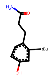 CC(C)(C)c1cc(O)ccc1CCC(N)=O